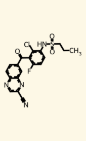 CCCS(=O)(=O)Nc1ccc(F)c(C(=O)c2ccc3ncc(C#N)nc3c2)c1Cl